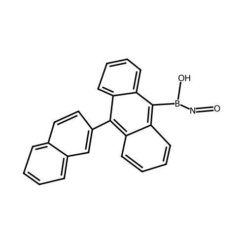 O=NB(O)c1c2ccccc2c(-c2ccc3ccccc3c2)c2ccccc12